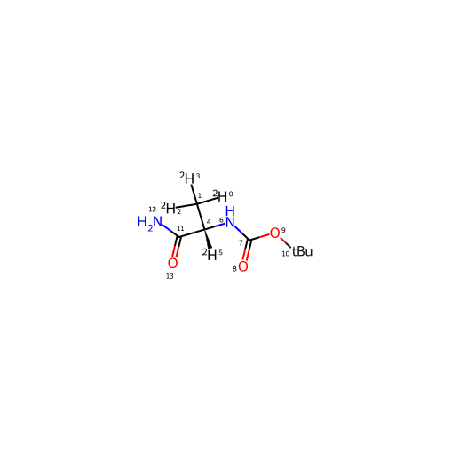 [2H]C([2H])([2H])[C@]([2H])(NC(=O)OC(C)(C)C)C(N)=O